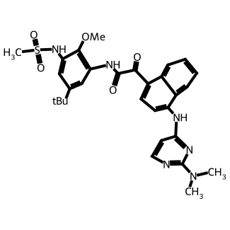 COc1c(NC(=O)C(=O)c2ccc(Nc3ccnc(N(C)C)n3)c3ccccc23)cc(C(C)(C)C)cc1NS(C)(=O)=O